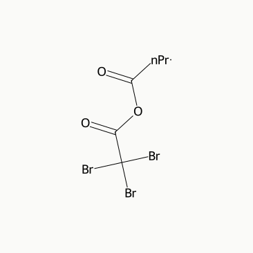 CC[CH]C(=O)OC(=O)C(Br)(Br)Br